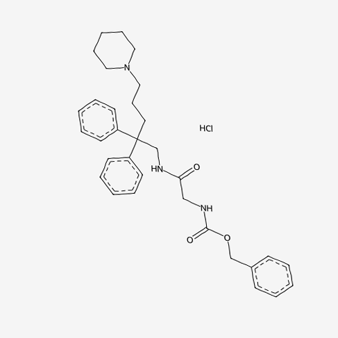 Cl.O=C(CNC(=O)OCc1ccccc1)NCC(CCCN1CCCCC1)(c1ccccc1)c1ccccc1